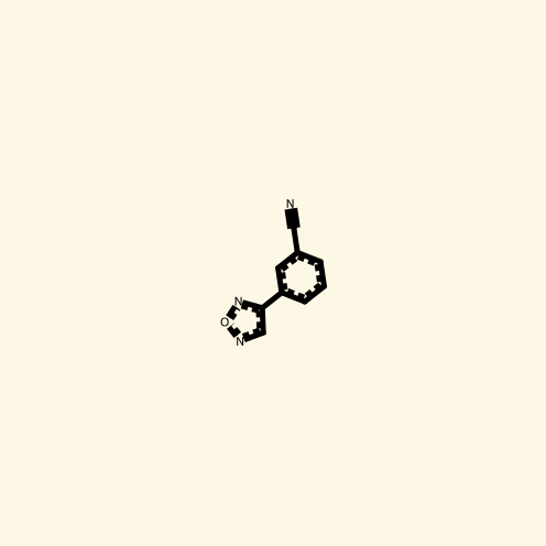 N#Cc1cccc(-c2cnon2)c1